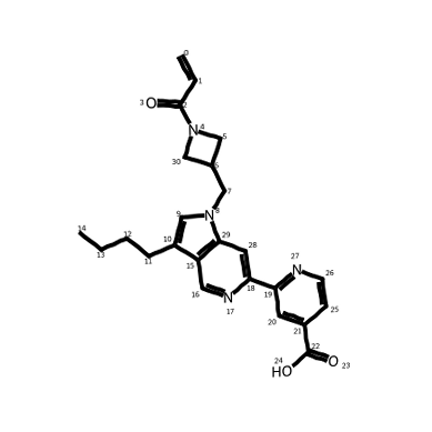 C=CC(=O)N1CC(Cn2cc(CCCC)c3cnc(-c4cc(C(=O)O)ccn4)cc32)C1